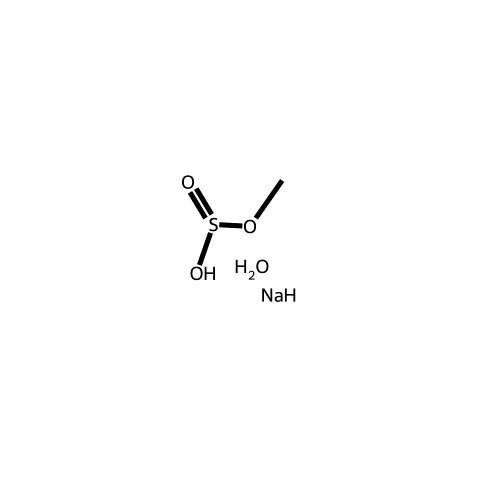 COS(=O)O.O.[NaH]